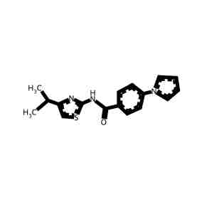 CC(C)c1csc(NC(=O)c2ccc(-n3cccc3)cc2)n1